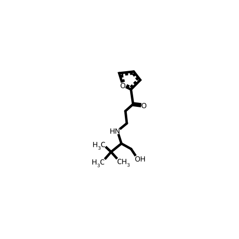 CC(C)(C)C(CO)NCCC(=O)c1ccco1